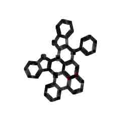 c1ccc(-c2ccccc2N2c3cccc4c3B(c3oc5ccccc5c3N4c3ccccc3)c3oc4ccccc4c32)cc1